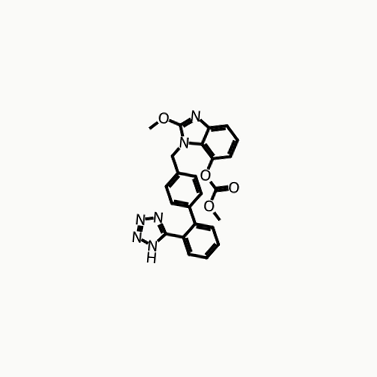 COC(=O)Oc1cccc2nc(OC)n(Cc3ccc(-c4ccccc4-c4nnn[nH]4)cc3)c12